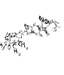 CC1(C)C(=O)C(C)(C)c2cc(C(=O)CN3CCN(c4nsc5ccccc45)CC3)ccc21